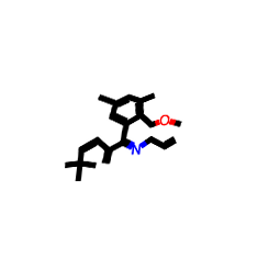 C=CC/N=C(/C(=C)/C=C\C(C)(C)C)c1cc(C)cc(C)c1COC